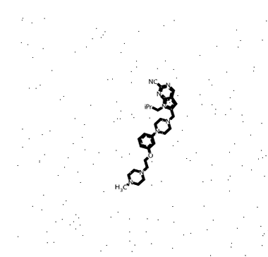 CC(C)Cn1c(CN2CCN(c3cccc(OCCN4CCN(C)CC4)c3)CC2)cc2cnc(C#N)nc21